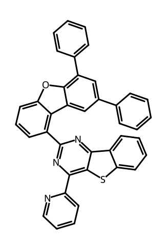 c1ccc(-c2cc(-c3ccccc3)c3oc4cccc(-c5nc(-c6ccccn6)c6sc7ccccc7c6n5)c4c3c2)cc1